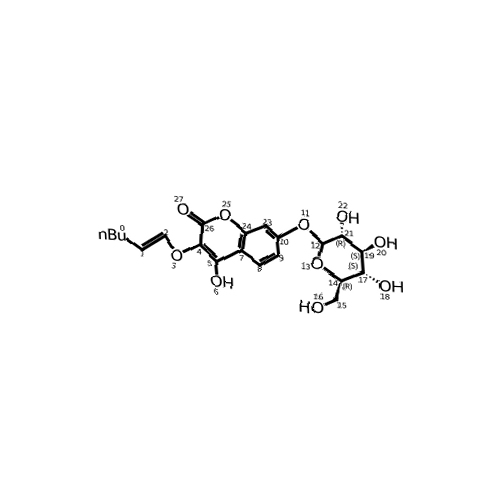 CCCCC=COc1c(O)c2ccc(OC3O[C@H](CO)[C@@H](O)[C@H](O)[C@H]3O)cc2oc1=O